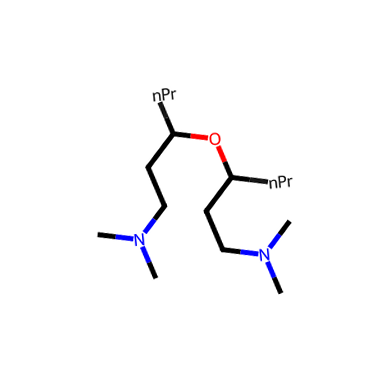 CCCC(CCN(C)C)OC(CCC)CCN(C)C